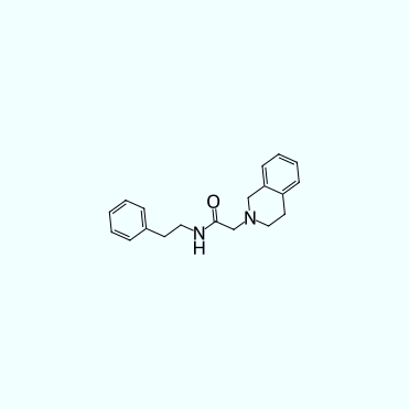 O=C(CN1CCc2ccccc2C1)NCCc1ccccc1